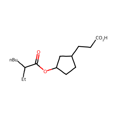 CCCCC(CC)C(=O)OC1CCC(CCC(=O)O)C1